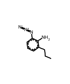 CCCc1cccc(N=[N+]=[N-])c1N